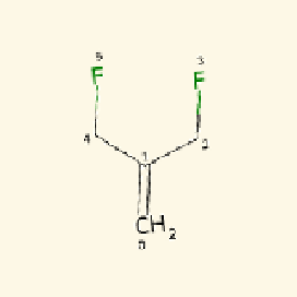 C=C(CF)CF